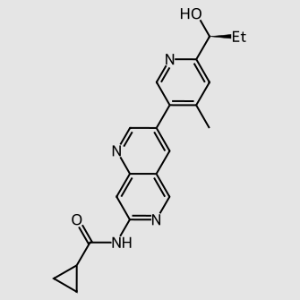 CC[C@H](O)c1cc(C)c(-c2cnc3cc(NC(=O)C4CC4)ncc3c2)cn1